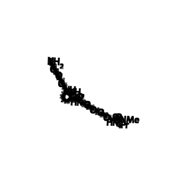 CNC(=O)[C@@H](NC(=O)CCOCCOCCOCCOCCNC(=O)COC1CCCCC/C(NCCOCCOCCOCCN)=C\1N)C(C)C